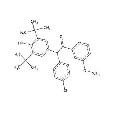 COc1cccc(C(=O)C(c2ccc(Cl)cc2)c2cc(C(C)(C)C)c(O)c(C(C)(C)C)c2)c1